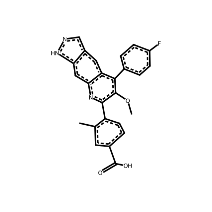 COc1c(-c2ccc(C(=O)O)cc2C)nc2cc3[nH]ncc3cc2c1-c1ccc(F)cc1